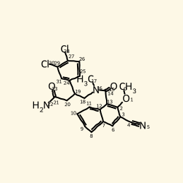 COc1c(C#N)cc2ccccc2c1C(=O)N(C)CC(CC(N)=O)c1ccc(Cl)c(Cl)c1